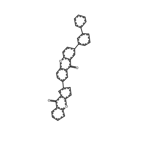 O=c1c2ccccc2oc2ccc(-c3ccc4oc5ccc(-c6cccc(-c7ccccc7)c6)cc5c(=O)c4c3)cc12